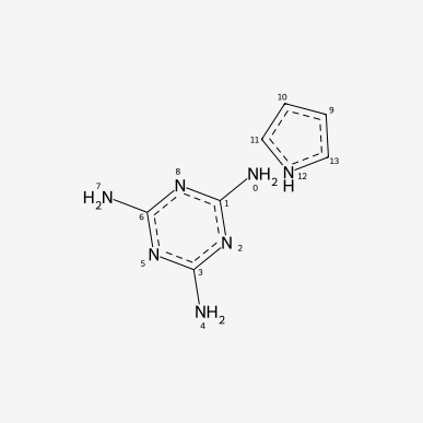 Nc1nc(N)nc(N)n1.c1cc[nH]c1